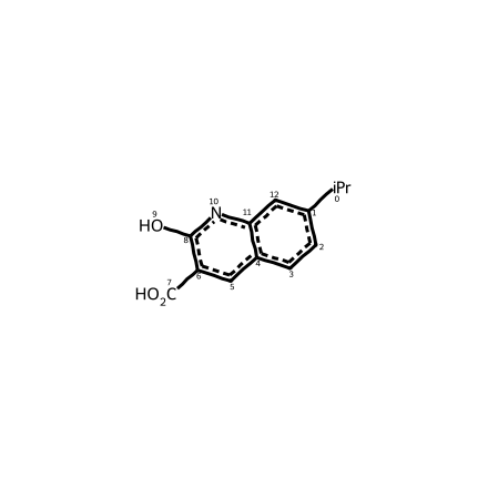 CC(C)c1ccc2cc(C(=O)O)c(O)nc2c1